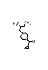 CC[C@H](C)CN1CCN(C(=O)C2CC2)CC1